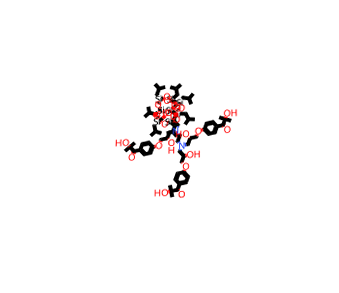 CC(C)C[Si]12O[Si]3(CCCN(CCN(CC(O)COc4ccc(C(=O)C(C)(C)O)cc4)CC(O)COc4ccc(C(=O)C(C)(C)O)cc4)CC(O)COc4ccc(C(=O)C(C)(C)O)cc4)O[Si]4(CC(C)C)O[Si](CC(C)C)(O1)O[Si]1(CC(C)C)O[Si](CC(C)C)(O2)O[Si](CC(C)C)(O3)O[Si](CC(C)C)(O4)O1